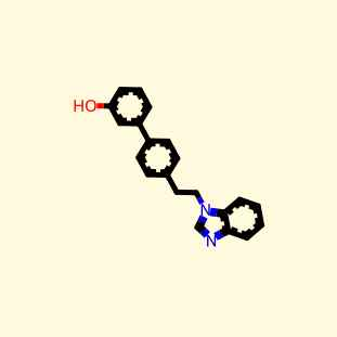 Oc1cccc(-c2ccc(CCn3cnc4ccccc43)cc2)c1